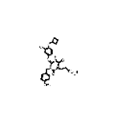 Cc1ccc(Cn2c(=O)n(CCC(=O)O)c(=O)[nH]/c2=N\c2ccc(OC3CCC3)c(Cl)c2)cc1